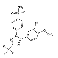 COc1ccc(-c2nc(C(F)(F)F)nn2-c2ccc(S(N)(=O)=O)nc2)cc1Cl